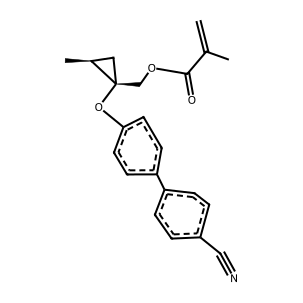 C=C(C)C(=O)OC[C@]1(Oc2ccc(-c3ccc(C#N)cc3)cc2)C[C@@H]1C